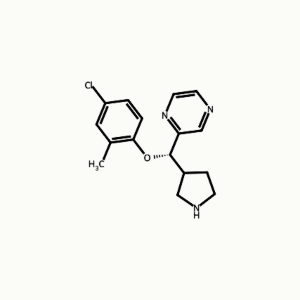 Cc1cc(Cl)ccc1O[C@H](c1cnccn1)C1CCNC1